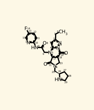 CCc1cc2n(CC(=O)Nc3ccc(F)cn3)c3c(c(=O)n2n1)CN(C[C@H]1CCCN1)C3=O